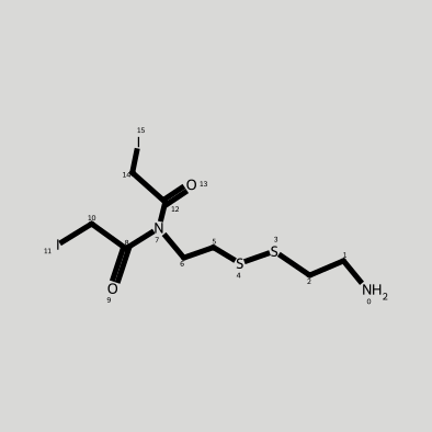 NCCSSCCN(C(=O)CI)C(=O)CI